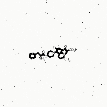 C[C@H]1CCc2c(N3CCC(OC(=O)[C@H](N)Cc4ccccc4)CC3)c(F)cc3c(=O)c(C(=O)O)cn1c23